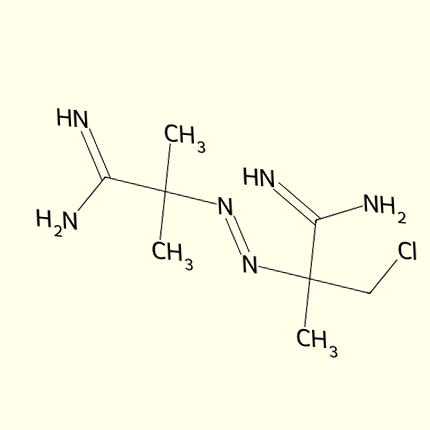 CC(C)(N=NC(C)(CCl)C(=N)N)C(=N)N